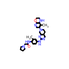 Cc1cc(Nc2ncc3c(n2)CN(c2cnc4c(c2C)NCCO4)CC3)ccc1NC(=O)CN1CCCC1